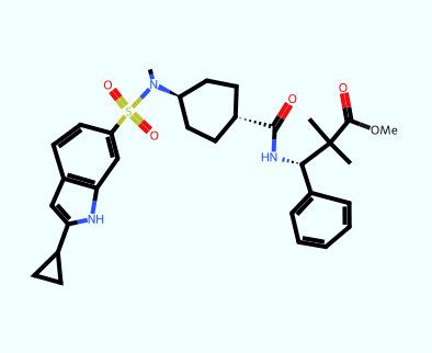 COC(=O)C(C)(C)[C@@H](NC(=O)[C@H]1CC[C@H](N(C)S(=O)(=O)c2ccc3cc(C4CC4)[nH]c3c2)CC1)c1ccccc1